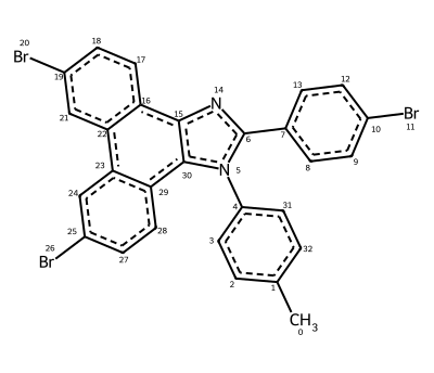 Cc1ccc(-n2c(-c3ccc(Br)cc3)nc3c4ccc(Br)cc4c4cc(Br)ccc4c32)cc1